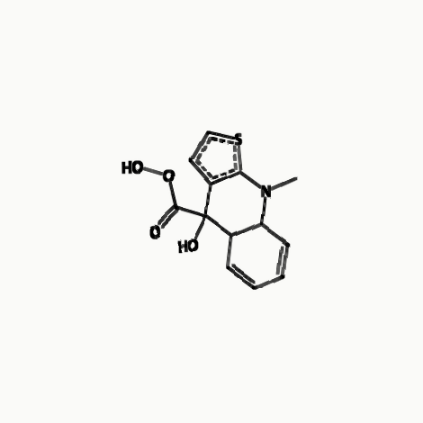 CN1c2sccc2C(O)(C(=O)OO)C2C=CC=CC21